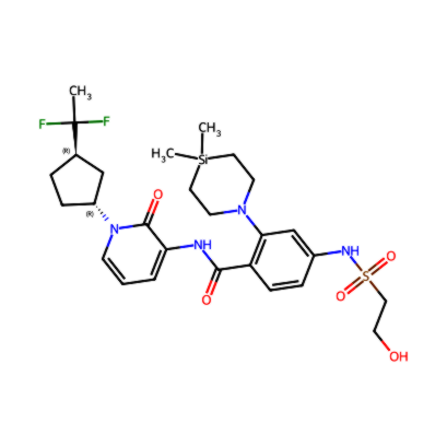 CC(F)(F)[C@@H]1CC[C@@H](n2cccc(NC(=O)c3ccc(NS(=O)(=O)CCO)cc3N3CC[Si](C)(C)CC3)c2=O)C1